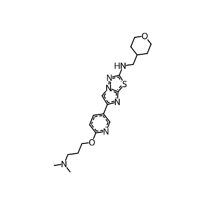 CN(C)CCCOc1ccc(-c2cn3nc(NCC4CCOCC4)sc3n2)cn1